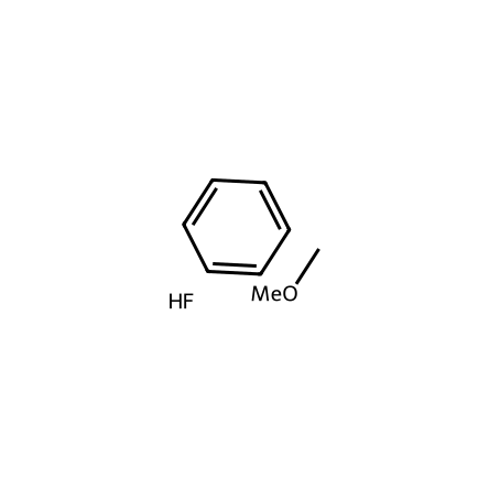 COC.F.c1ccccc1